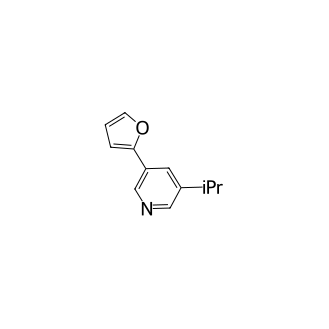 CC(C)c1cncc(-c2ccco2)c1